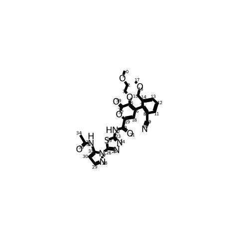 COCCOc1c(-c2c(C#N)cccc2COC)cc(C(=O)Nc2nnc(-n3nccc3NC(C)=O)s2)oc1=O